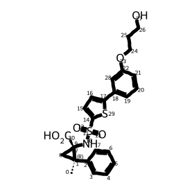 C[C@]1(c2ccccc2)C[C@@]1(NS(=O)(=O)c1ccc(-c2cccc(OCCCO)c2)s1)C(=O)O